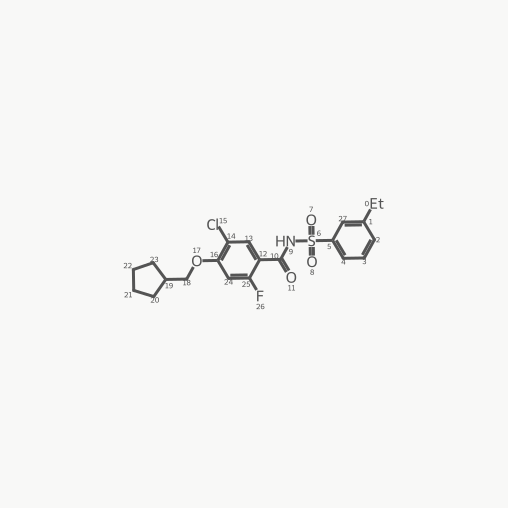 CCc1cccc(S(=O)(=O)NC(=O)c2cc(Cl)c(OCC3CCCC3)cc2F)c1